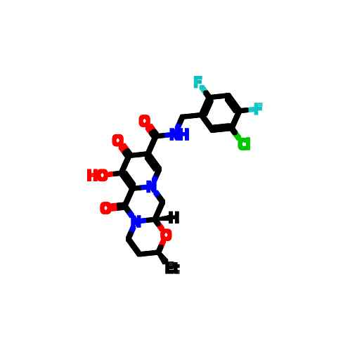 CC[C@H]1CCN2C(=O)c3c(O)c(=O)c(C(=O)NCc4cc(Cl)c(F)cc4F)cn3C[C@H]2O1